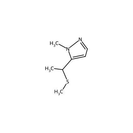 CSC(C)c1ccnn1C